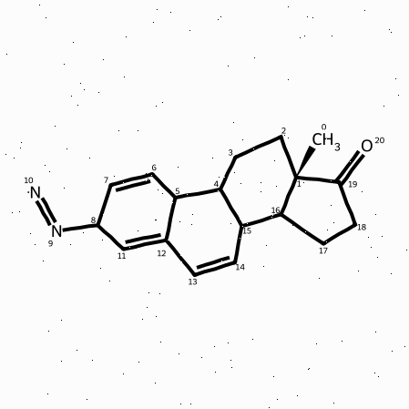 C[C@]12CCC3C4C=CC(N=[N])C=C4C=CC3C1CCC2=O